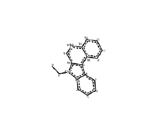 CCn1c2ccccc2c2c3ccccc3ncc21